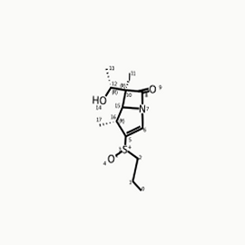 CCC[S+]([O-])C1=CN2C(=O)[C@](I)([C@@H](C)O)C2[C@H]1C